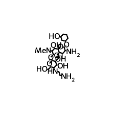 CNC1C(O[C@H]2OC(CO)[C@@H](NCCN)[C@H](O)C2O)O[C@H]2C[C@H](N)[C@@H](O[C@@H]3CCC[C@@H](O)C3)OC2C1O